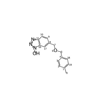 Cc1ccc(COCc2ccc3nnn(O)c3c2)cc1